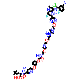 Cc1nc2cc(F)c(-c3cnc(OCCN4CC(n5cc(COCCN6CC(OCCNC(=O)COc7cccc(Oc8ccc(C(=O)N[C@@H](CCC(C)(C)C)C(=O)O)cn8)c7)C6)nn5)C4)nc3)nc2c(N[C@H](C)c2cc(C#N)ccc2F)c1Cl